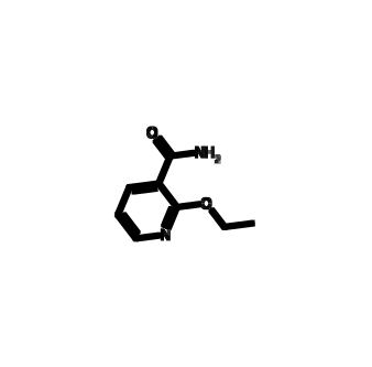 CCOc1ncccc1C(N)=O